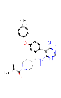 C=C(C#N)C(=O)N1CCC(CNc2ncnc(N)c2-c2ccc(Oc3ccc(C(F)(F)F)cc3)cc2)CC1